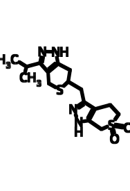 CC(C)c1n[nH]c2c1CSC(Cc1n[nH]c3c1CCS(=O)(=O)C3)C2